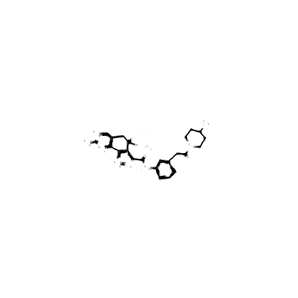 CC1(C)Cc2cnc(N)nc2-c2[nH]nc(C(=O)Nc3cccc(CC(=O)N4CCC(N)CC4)c3)c21